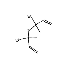 C=CC(C)(CC)SC(C)(C=C)CC